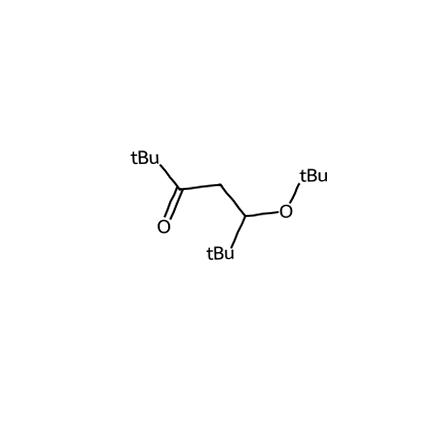 CC(C)(C)OC(CC(=O)C(C)(C)C)C(C)(C)C